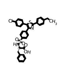 CCc1ccc(-c2nc(-c3ccc(S(=O)(=O)N[C@@H](Cc4ccccc4)C(=O)O)cc3)c(-c3ccc(Cl)cc3)s2)cc1